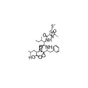 CCC(C)C(NC(=O)C(CCSC)NC(C)=O)C(=O)NC(Cc1ccccc1)C(=O)NC(CC(C)C)C(=O)O